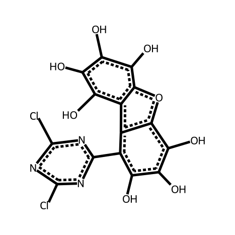 Oc1c(O)c(O)c2c(oc3c(O)c(O)c(O)c(-c4nc(Cl)nc(Cl)n4)c32)c1O